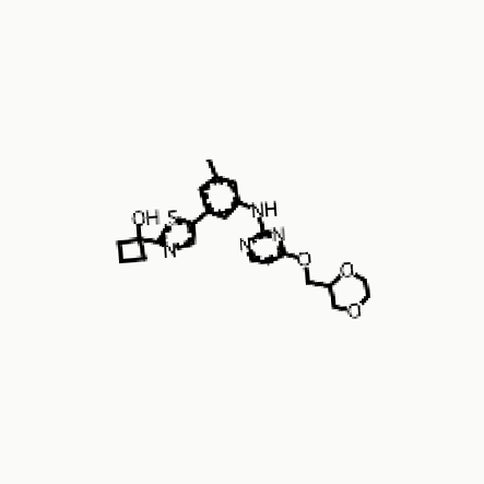 Cc1cc(Nc2nccc(OCC3COCCO3)n2)cc(-c2cnc(C3(O)CCC3)s2)c1